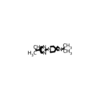 CC(C)c1cnc(N2CCC3(CC2)CN(C(C)C)C3)nc1